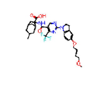 COCCCCOc1ccc2c(c1)CCN2c1ncc(C(=O)NC2(C(=O)O)CC3CC(C)CC2C3)c(C(F)(F)F)n1